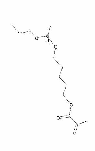 C=C(C)C(=O)OCCCCCO[SiH](C)OCCC